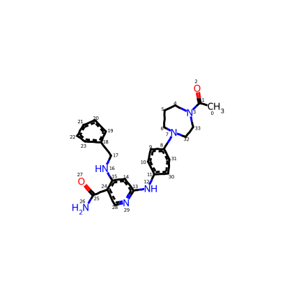 CC(=O)N1CCCN(c2ccc(Nc3cc(NCc4ccccc4)c(C(N)=O)cn3)cc2)CC1